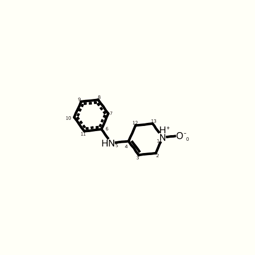 [O-][NH+]1CC=C(Nc2ccccc2)CC1